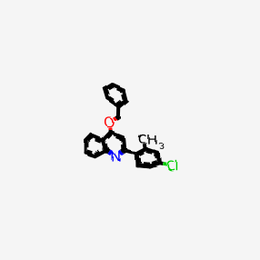 Cc1cc(Cl)ccc1-c1cc(OCc2ccccc2)c2ccccc2n1